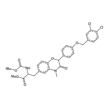 COC(=O)C(Cc1ccc2c(c1)N(C)C(=O)C(c1ccc(OCc3ccc(Cl)c(Cl)c3)cc1)O2)NC(=O)OC(C)(C)C